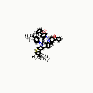 CC(C)(C)c1ccc(N2B3c4cc5c(cc4N4C6=Cc7oc8ccccc8c7C7CC67c6ccc(c3c64)-c3cc4c(cc32)sc2ccc(C(C)(C)C)cc24)oc2ccccc25)cc1